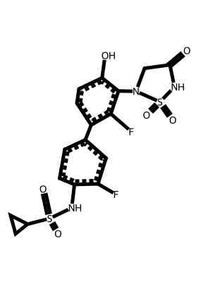 O=C1CN(c2c(O)ccc(-c3ccc(NS(=O)(=O)C4CC4)c(F)c3)c2F)S(=O)(=O)N1